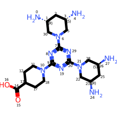 N[C@@H]1C[C@H](N)CN(c2nc(N3CCC(C(=O)O)CC3)nc(N3C[C@H](N)C[C@H](N)C3)n2)C1